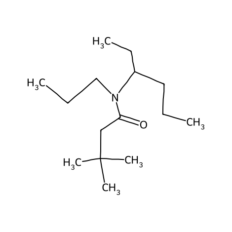 CCCC(CC)N(CCC)C(=O)CC(C)(C)C